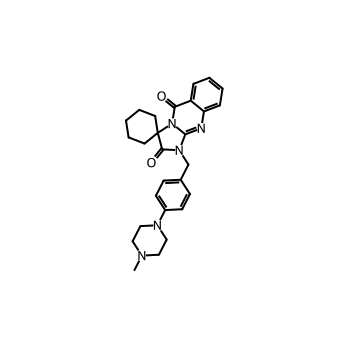 CN1CCN(c2ccc(CN3C(=O)C4(CCCCC4)n4c3nc3ccccc3c4=O)cc2)CC1